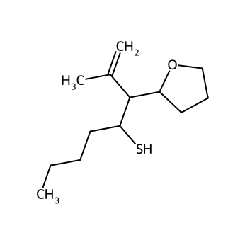 C=C(C)C(C(S)CCCC)C1CCCO1